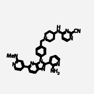 CNc1cc(-c2ccc3nc(-c4cccnc4N)n(-c4ccc(CN5CCC(Nc6ccnc(C#N)n6)CC5)cc4)c3n2)ccn1